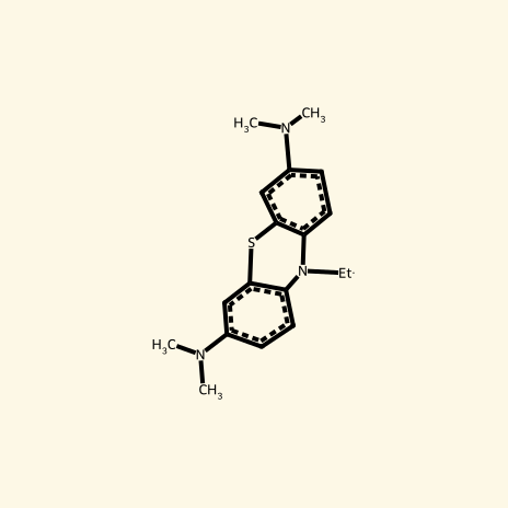 C[CH]N1c2ccc(N(C)C)cc2Sc2cc(N(C)C)ccc21